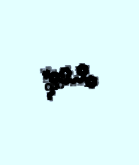 CCCC(=O)Oc1cc(C(C)(C)C)ccc1C(O)(CCCCCC(c1ccccc1)c1ccccc1)N1CCCCC1